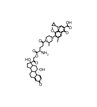 COc1c(N2CCN(C(=O)CC[C@@H](N)C(=O)OCC(=O)[C@@]3(O)CCC4C5CCC6=CC(=O)C=C[C@]6(C)C5[C@@H](O)C[C@@]43C)C(C)C2)c(F)cc2c(=O)c(C(=O)O)cn(C3CC3)c12